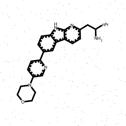 CCCC(N)Cc1ccc2c(n1)[nH]c1ccc(-c3ccc(N4CCOCC4)cn3)cc12